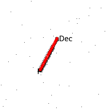 CCCCCCCCCCCCCCCCCCCCCCCCCCCCCCCCC[CH]CCCCCCCCCCCCCCCCCF